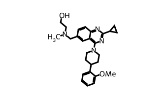 COc1ccccc1C1CCN(c2nc(C3CC3)nc3ccc(CN(C)CCO)cc23)CC1